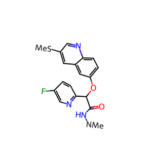 CNNC(=O)C(Oc1ccc2ncc(SC)cc2c1)c1ccc(F)cn1